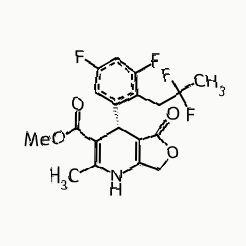 COC(=O)C1=C(C)NC2=C(C(=O)OC2)[C@H]1c1cc(F)cc(F)c1CC(C)(F)F